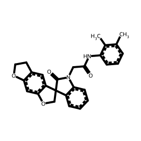 Cc1cccc(NC(=O)CN2C(=O)C3(COc4cc5c(cc43)CCO5)c3ccccc32)c1C